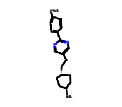 CCCCCc1ccc(-c2ncc(CC[C@H]3CC[C@H](CCCC)CC3)cn2)cc1